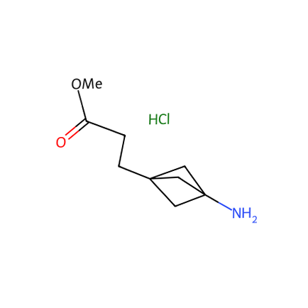 COC(=O)CCC12CC(N)(C1)C2.Cl